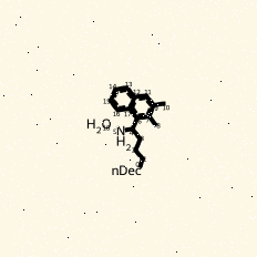 CCCCCCCCCCCCCC(N)c1c(C)c(C)cc2ccccc12.O